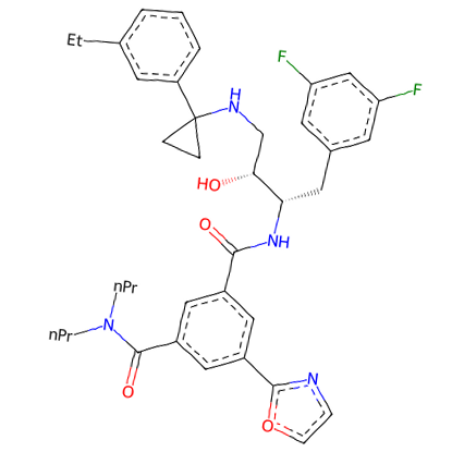 CCCN(CCC)C(=O)c1cc(C(=O)N[C@@H](Cc2cc(F)cc(F)c2)[C@H](O)CNC2(c3cccc(CC)c3)CC2)cc(-c2ncco2)c1